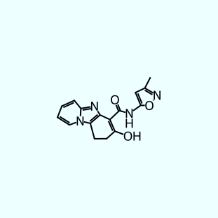 Cc1cc(NC(=O)C2=C(O)CCc3c2nc2ccccn32)on1